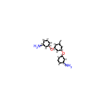 Cc1cc(Oc2cccc(N)c2)cc(Oc2cccc(N)c2)c1